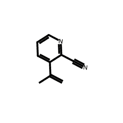 C=C(C)c1cccnc1C#N